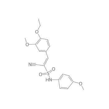 CCOc1ccc(/C=C(\C#N)S(=O)(=O)Nc2ccc(OC)cc2)cc1OC